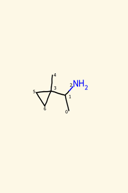 CC(N)C1(C)CC1